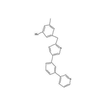 Cc1cc(Cc2ccc(-c3cccc(-c4cccnc4)c3)cn2)cc(C(C)(C)C)c1